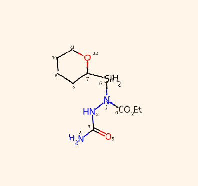 CCOC(=O)N(NC(N)=O)[SiH2]C1CCCCO1